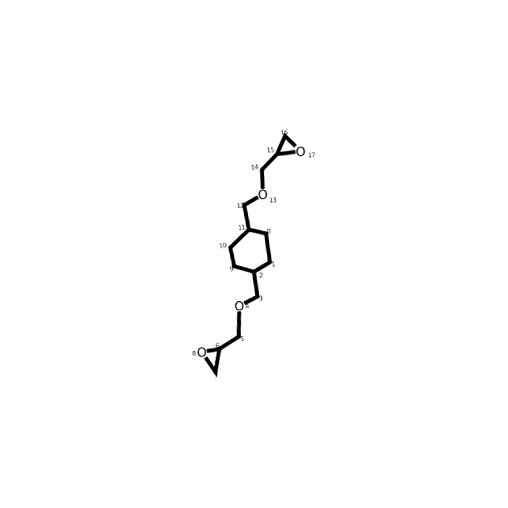 C1CC(COCC2CO2)CCC1COCC1CO1